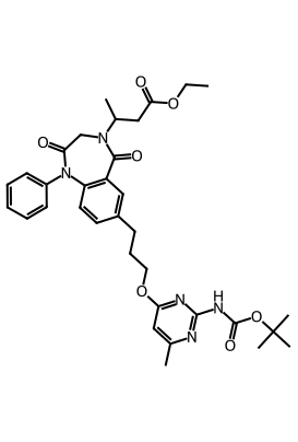 CCOC(=O)CC(C)N1CC(=O)N(c2ccccc2)c2ccc(CCCOc3cc(C)nc(NC(=O)OC(C)(C)C)n3)cc2C1=O